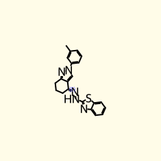 Cc1cccc(-n2cc3c(n2)CCC/C3=N\Nc2nc3ccccc3s2)c1